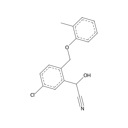 Cc1ccccc1OCc1ccc(Cl)cc1C(O)C#N